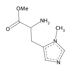 COC(=O)C(N)Cc1cncn1C